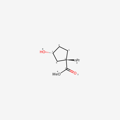 CCC[C@]1(C(=O)OC)CC[C@@H](O)C1